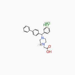 C[C@@H]1CN(C(c2ccccc2)c2ccc(-c3ccccc3)cc2)CCN1CC(=O)O.Cl.Cl